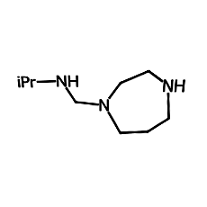 CC(C)NCN1CCCNCC1